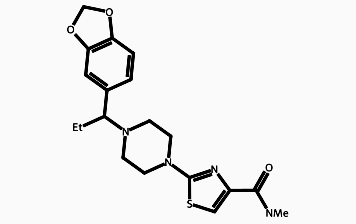 CCC(c1ccc2c(c1)OCO2)N1CCN(c2nc(C(=O)NC)cs2)CC1